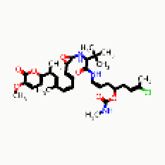 CNC(=O)OC(C/C=C\NC(=O)C(NC1OC1/C=C/C=C\C(C)=C\C(C)C1CC=C(OC)C(=O)O1)C(C)(C)C)C/C=C(\C)Cl